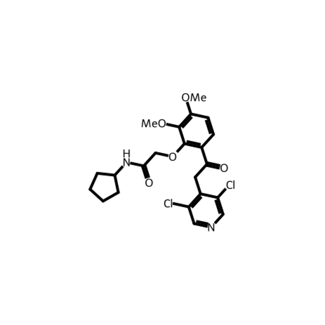 COc1ccc(C(=O)Cc2c(Cl)cncc2Cl)c(OCC(=O)NC2CCCC2)c1OC